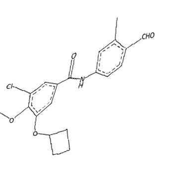 CCOc1c(Cl)cc(C(=O)Nc2ccc(C=O)c(C)c2)cc1OC1CCC1